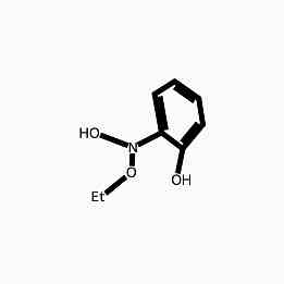 CCON(O)c1ccccc1O